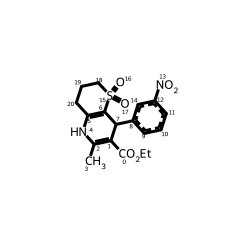 CCOC(=O)C1=C(C)NC2=C(C1c1cccc([N+](=O)[O-])c1)S(=O)(=O)CCC2